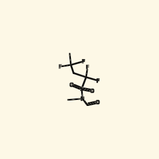 CN(C=O)S(=O)(=O)C(F)(F)CC(C)(F)F